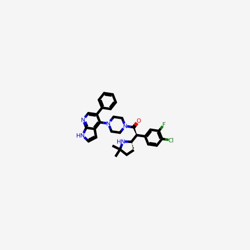 CC1(C)CC[C@@H]([C@@H](C(=O)N2CCN(c3c(-c4ccccc4)cnc4[nH]ccc34)CC2)c2ccc(Cl)c(F)c2)N1